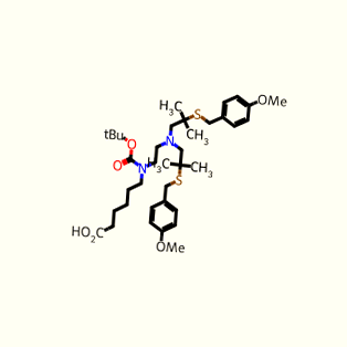 COc1ccc(CSC(C)(C)CN(CCN(CCCCCC(=O)O)C(=O)OC(C)(C)C)CC(C)(C)SCc2ccc(OC)cc2)cc1